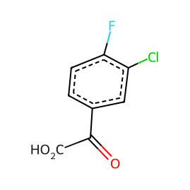 O=C(O)C(=O)c1ccc(F)c(Cl)c1